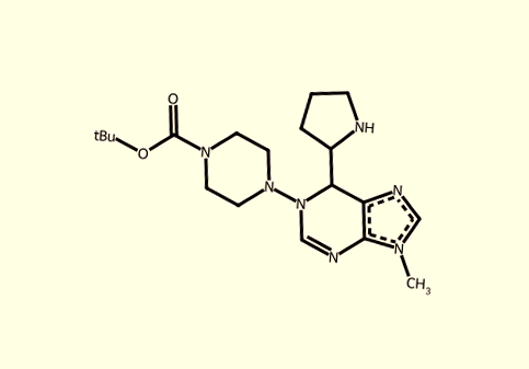 Cn1cnc2c1N=CN(N1CCN(C(=O)OC(C)(C)C)CC1)C2C1CCCN1